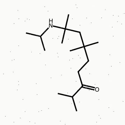 CC(C)NC(C)(C)CC(C)(C)CCC(=O)C(C)C